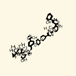 Cc1ncsc1-c1ccc(CNC(=O)[C@@H]2C[C@@H](O)CN2C(=O)[C@@H](NC(=O)C2(F)CC2)C(C)(C)C)c(OC2CCC(N3CCC(c4cnc(N5CCc6[nH]c7nnc(-c8ccccc8O)cc7c6[C@H]5C)nc4)CC3)CC2)c1